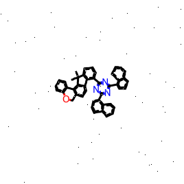 CC1(C)c2cccc(-c3nc(-c4cccc5ccccc45)nc(-c4cccc5ccccc45)n3)c2-c2ccc3c(c21)-c1ccccc1OC3